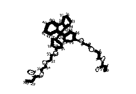 C=CC(=O)OCCOCCOc1ccc(C2(c3ccc(OCCOCCOC(=O)C=C)cc3)c3ccccc3-c3ccccc32)cc1